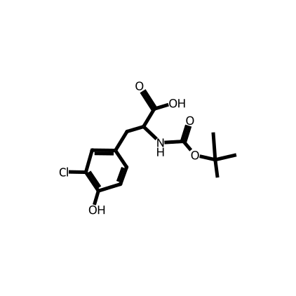 CC(C)(C)OC(=O)NC(Cc1ccc(O)c(Cl)c1)C(=O)O